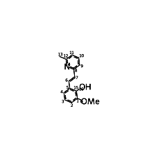 COc1cccc(C=Cc2cccc(C)n2)c1O